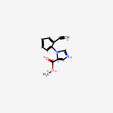 C#Cc1ccccc1-n1cncc1C(=O)OC